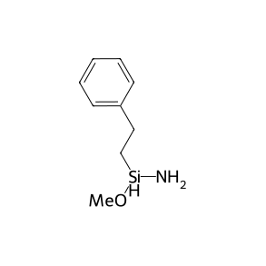 CO[SiH](N)CCc1ccccc1